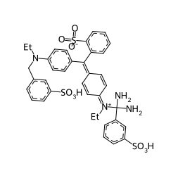 CCN(Cc1cccc(S(=O)(=O)O)c1)c1ccc(C(=C2C=CC(=[N+](CC)C(N)(N)c3cccc(S(=O)(=O)O)c3)C=C2)c2ccccc2S(=O)(=O)[O-])cc1